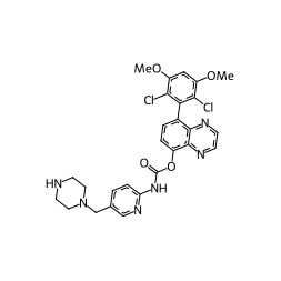 COc1cc(OC)c(Cl)c(-c2ccc(OC(=O)Nc3ccc(CN4CCNCC4)cn3)c3nccnc23)c1Cl